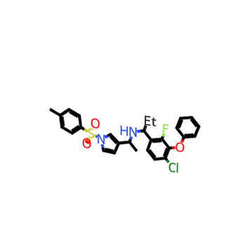 CCC(NC(C)c1ccn(S(=O)(=O)c2ccc(C)cc2)c1)c1ccc(Cl)c(Oc2ccccc2)c1F